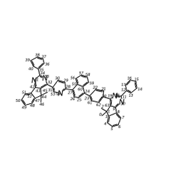 CC1(C)c2ccccc2-c2nc(-c3ccccc3)nc(-c3ccc(-c4ccc(-c5ccc(-c6nc(-c7ccccc7)nc7c6C(C)(C)c6ccccc6-7)cn5)c5ccccc45)cc3)c21